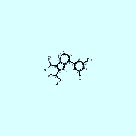 COC(=O)c1sc2c(-c3cc(F)cc(F)c3)ccnc2c1C(F)F